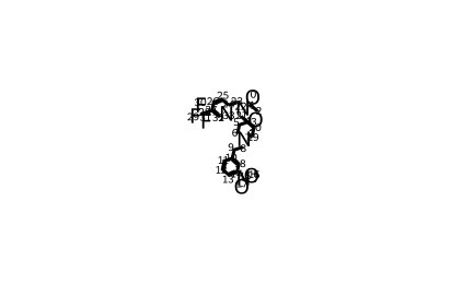 O=C1COC2(CCN(CCc3cccc([N+](=O)[O-])c3)CC2)CN1Cc1ccc(C(F)(F)F)cn1